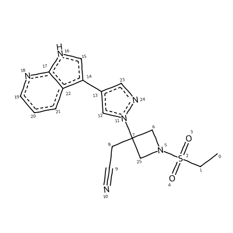 CCS(=O)(=O)N1CC(CC#N)(n2cc(-c3c[nH]c4ncccc34)cn2)C1